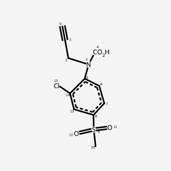 C#CCN(C(=O)O)c1ccc(S(C)(=O)=O)cc1Cl